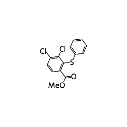 COC(=O)c1ccc(Cl)c(Cl)c1Sc1ccccc1